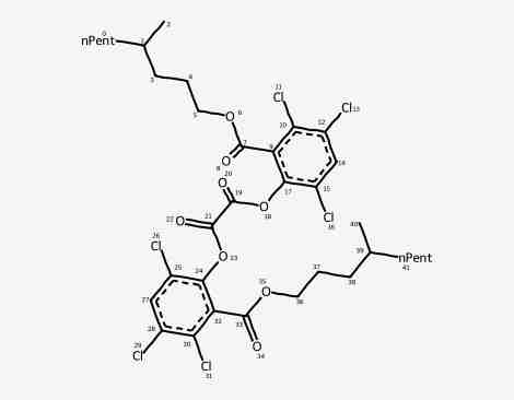 CCCCCC(C)CCCOC(=O)c1c(Cl)c(Cl)cc(Cl)c1OC(=O)C(=O)Oc1c(Cl)cc(Cl)c(Cl)c1C(=O)OCCCC(C)CCCCC